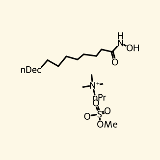 CCCCCCCCCCCCCCCCCC(=O)NO.CCC[N+](C)(C)C.COS(=O)(=O)[O-]